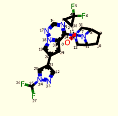 O=C([C@@H]1CC1(F)F)N1C2CCC1CN(c1ncnn3cc(-c4cnn(C(F)F)c4)cc13)C2